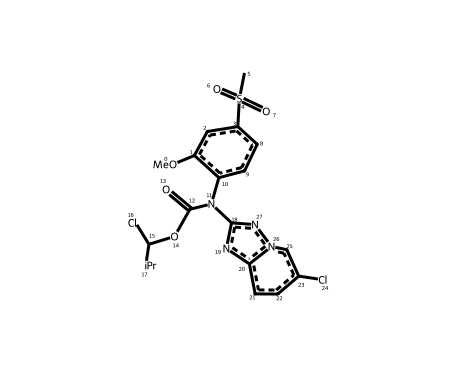 COc1cc(S(C)(=O)=O)ccc1N(C(=O)OC(Cl)C(C)C)c1nc2ccc(Cl)cn2n1